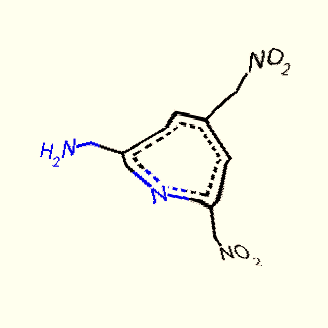 Nc1cc([N+](=O)[O-])cc([N+](=O)[O-])n1